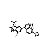 Cc1nc2c(F)cc(-c3c[nH]c4nc(C5CCC5)ccc34)cc2n1C(C)C